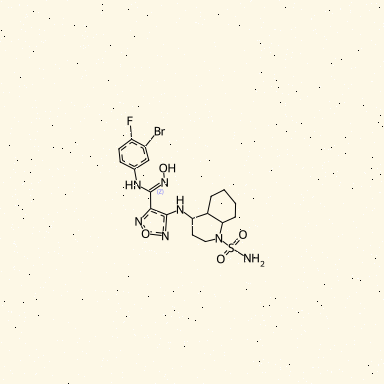 NS(=O)(=O)N1CCC(Nc2nonc2/C(=N/O)Nc2ccc(F)c(Br)c2)C2CCCCC21